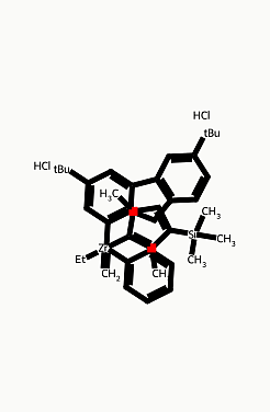 Cl.Cl.[CH2]=[Zr]([CH2]C)([C]1=C(C)C([Si](C)(C)C)=CC1C)([c]1ccccc1)[c]1cc(C(C)(C)C)cc2c1Cc1ccc(C(C)(C)C)cc1-2